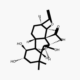 C=C1O[C@@H]2[C@H]1CC[C@H]1[C@@]34CO[C@@](O)([C@@H](O)[C@@H]3C(C)(C)C[C@H](O)[C@H]4O)[C@@]21C(C)=O